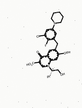 COc1cc2c(cc1Cc1cc(N3CCCCC3)cc(Cl)c1F)c(=O)c(C(=O)O)cn2[C@H](CO)C(C)C